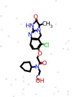 CC1C(=O)NC2=Nc3ccc(OCC(=O)N(CCO)C4CCCCC4)c(Cl)c3CN21